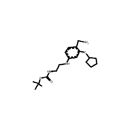 CC(C)(C)OC(=O)NCCNc1ccc(CN)c(OC2CCCC2)c1